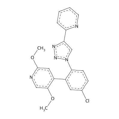 COc1cc(-c2cc(Cl)ccc2-n2cc(-c3ccccn3)nn2)c(OC)cn1